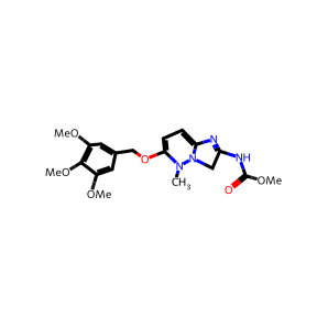 COC(=O)NC1=NC2=CC=C(OCc3cc(OC)c(OC)c(OC)c3)N(C)N2C1